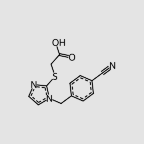 N#Cc1ccc(Cn2ccnc2SCC(=O)O)cc1